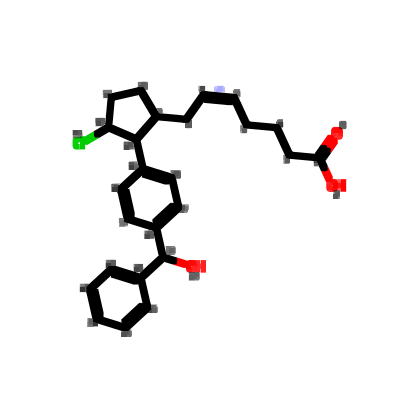 O=C(O)CCC/C=C\CC1CCC(Cl)C1c1ccc(C(O)c2ccccc2)cc1